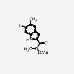 CON(C)C(=O)c1cc2cc(C)c(F)cc2[nH]1